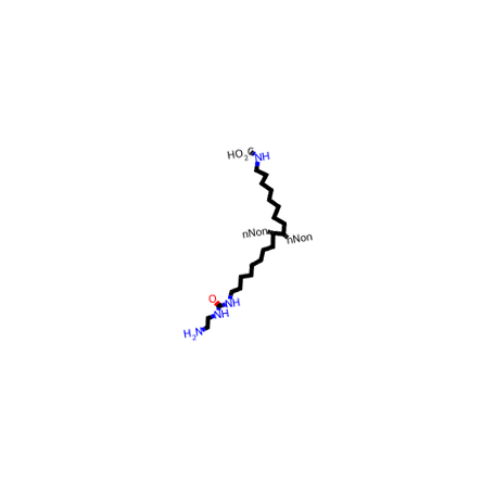 CCCCCCCCCC(CCCCCCCCNC(=O)O)C(CCCCCCCCC)CCCCCCCCNC(=O)NCCN